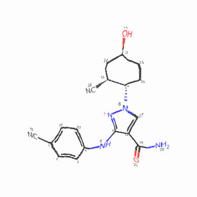 N#Cc1ccc(Nc2nn([C@H]3CC[C@H](O)C[C@@H]3C#N)cc2C(N)=O)cc1